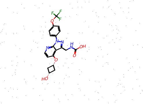 O=C(O)NCc1nn(-c2ccc(OC(F)(F)F)cc2)c2nccc(O[C@H]3C[C@@H](O)C3)c12